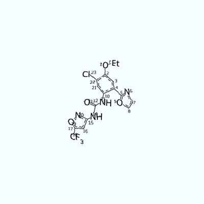 CCOc1cc(-c2ncco2)c(NC(=O)Nc2cc(C(F)(F)F)on2)cc1Cl